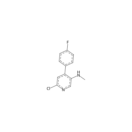 CNc1cnc(Cl)cc1-c1ccc(F)cc1